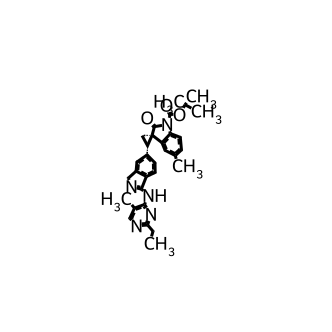 CCc1ncc(C)c(NC2=NCc3cc([C@@H]4C[C@@]45C(=O)N(C(=O)OC(C)(C)C)c4ccc(C)cc45)ccc32)n1